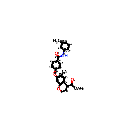 COC(=O)C1CCOc2cc(Oc3ccc(C(=O)Nc4cccc(C)c4)cc3)c(C#N)cc21